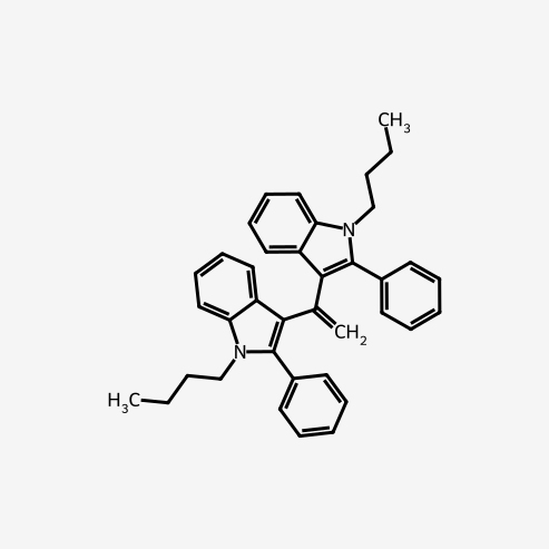 C=C(c1c(-c2ccccc2)n(CCCC)c2ccccc12)c1c(-c2ccccc2)n(CCCC)c2ccccc12